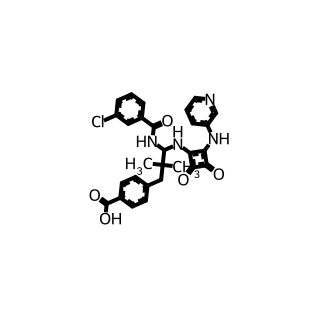 CC(C)(Cc1ccc(C(=O)O)cc1)C(NC(=O)c1cccc(Cl)c1)Nc1c(Nc2cccnc2)c(=O)c1=O